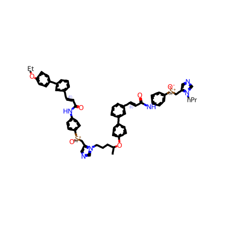 CCCn1cncc1C[S@@+]([O-])c1ccc(NC(=O)/C=C/c2cccc(-c3ccc(OC(C)CCCn4cncc4C[S@+]([O-])c4ccc(NC(=O)/C=C/c5cccc(-c6ccc(OCC)cc6)c5)cc4)cc3)c2)cc1